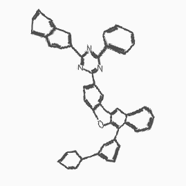 C1=CCC(c2cccc(-c3c4ccccc4cc4c3oc3ccc(-c5nc(-c6ccccc6)nc(-c6ccc7ccccc7c6)n5)cc34)c2)C=C1